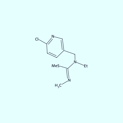 CCN(Cc1ccc(Cl)nc1)/C(=N/C)SC